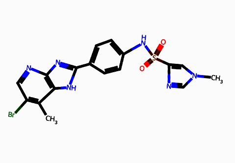 Cc1c(Br)cnc2nc(-c3ccc(NS(=O)(=O)c4cn(C)cn4)cc3)[nH]c12